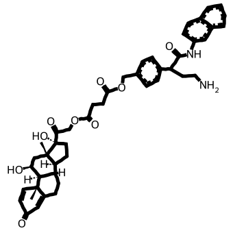 C[C@]12C=CC(=O)C=C1CC[C@@H]1[C@@H]2[C@@H](O)C[C@@]2(C)[C@H]1CC[C@]2(O)C(=O)COC(=O)CCC(=O)OCc1ccc(C(CCN)C(=O)Nc2ccc3ccccc3c2)cc1